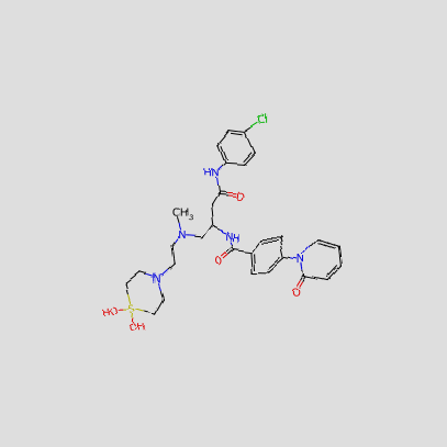 CN(CCN1CCS(O)(O)CC1)CC(CC(=O)Nc1ccc(Cl)cc1)NC(=O)c1ccc(-n2ccccc2=O)cc1